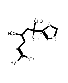 CC(C)=CCC(C)CC(C)(C=O)C1=COCO1